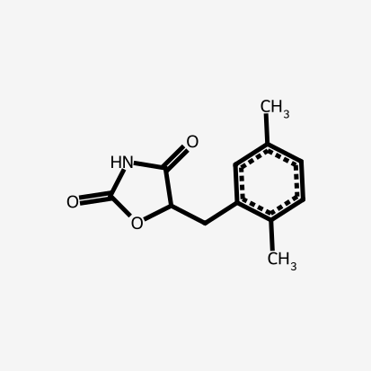 Cc1ccc(C)c(CC2OC(=O)NC2=O)c1